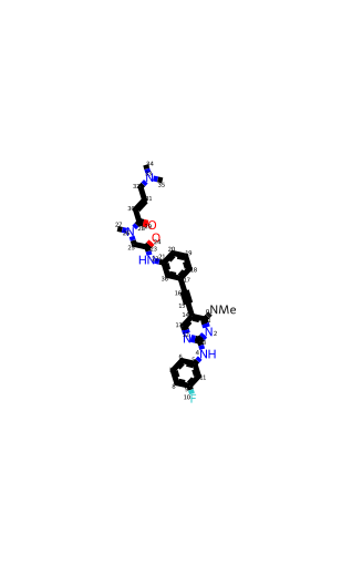 CNc1nc(Nc2cccc(F)c2)ncc1C#Cc1cccc(NC(=O)CN(C)C(=O)/C=C/CN(C)C)c1